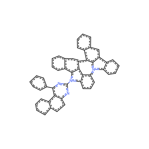 c1ccc(-c2nc(-n3c4cccc5c4c4c(cc6ccccc6c43)c3c4ccccc4cc4c6ccccc6n5c43)nc3ccc4ccccc4c23)cc1